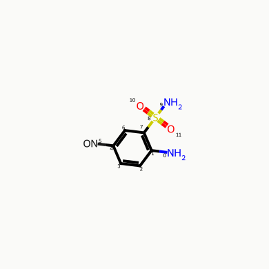 Nc1ccc(N=O)cc1S(N)(=O)=O